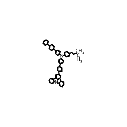 CC(C)CCc1ccc(N(c2ccc(-c3ccc(-c4ccccc4)cc3)cc2)c2ccc(-c3ccc(-c4cc5c6ccccc6n6c7ccccc7c(c4)c56)cc3)cc2)cc1